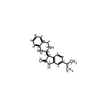 CC(C)c1ccc2c(c1)NC(=O)/C2=C1/NCc2ccccc2N1